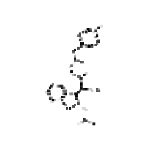 Cc1ccc(CN2CCN(C(C=O)N3c4ccccc4C[C@H]3CN(C)C)CC2)cc1